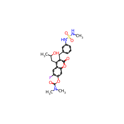 CNS(=O)(=O)Nc1cccc(Cc2c(CC(C)O)c3cc(I)c(OC(=O)N(C)C)cc3oc2=O)c1